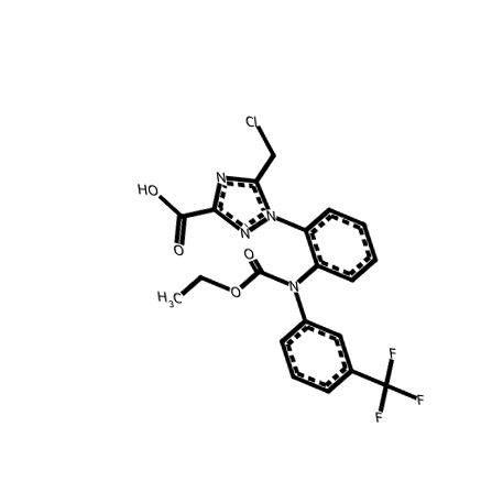 CCOC(=O)N(c1cccc(C(F)(F)F)c1)c1ccccc1-n1nc(C(=O)O)nc1CCl